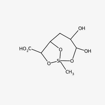 C[Si]12OC(O)C(O)CC(O1)C(C(=O)O)O2